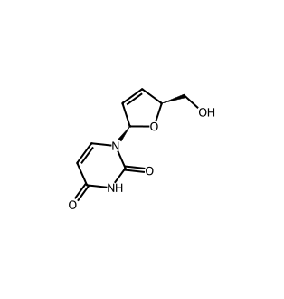 O=c1ccn([C@H]2C=C[C@@H](CO)O2)c(=O)[nH]1